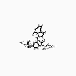 CCC[C@@H](CC(=O)O)n1c(=O)n(CC2CN(C)c3cccc(C)c32)c2cc(NC(=O)OC(C)(C)C)ccc21